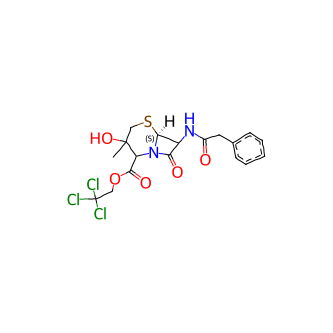 CC1(O)CS[C@H]2C(NC(=O)Cc3ccccc3)C(=O)N2C1C(=O)OCC(Cl)(Cl)Cl